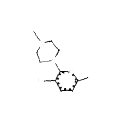 Cc1ccc(Br)c(N2CCN(C)CC2)n1